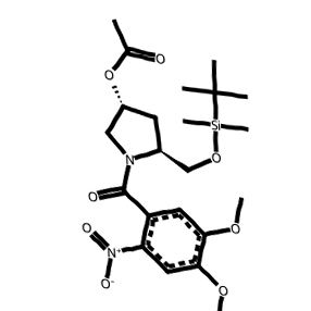 COc1cc(C(=O)N2C[C@H](OC(C)=O)C[C@H]2CO[Si](C)(C)C(C)(C)C)c([N+](=O)[O-])cc1OC